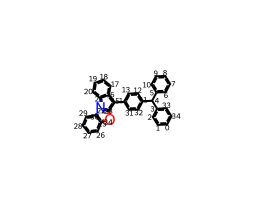 c1ccc(C(c2ccccc2)c2ccc(-c3c4ccccc4n4c3oc3ccccc34)cc2)cc1